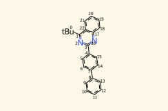 CC(C)(C)c1nc(-c2ccc(-c3ccccc3)cc2)nc2ccccc12